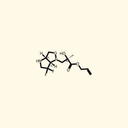 C=CCOC(=O)[C@](C)(O)CN1OC[C@H]2NCC(F)(F)[C@H]21